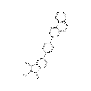 CN1C(=O)c2ccc(-c3ccc(-c4cnc5c(ccc6cccnc65)c4)cc3)cc2C1=O